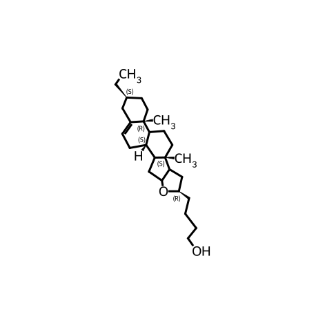 CC[C@H]1CC[C@@]2(C)C(=CC[C@H]3C4CC5O[C@H](CCCCO)CC5[C@@]4(C)CCC32)C1